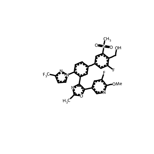 COc1ncc(-c2oc(C)nc2-c2cc(-c3cc(F)c(CO)c(S(C)(=O)=O)c3)ccc2-n2ccc(C(F)(F)F)n2)cc1F